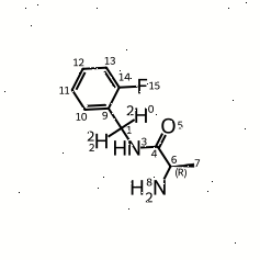 [2H]C([2H])(NC(=O)[C@@H](C)N)c1ccccc1F